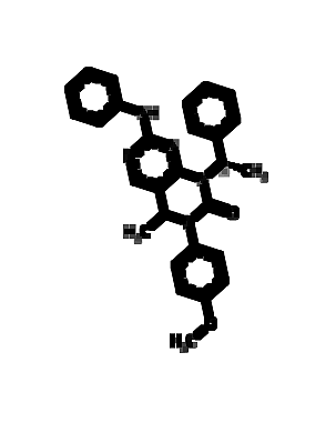 COc1ccc(N2C(=O)N([C@@H](C)c3ccccc3)c3nc(Nc4ccccc4)ncc3C2C)cc1